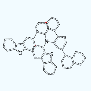 c1ccc(-c2ccc(-c3cccc4ccccc34)cc2N(c2ccccc2-c2ccc3oc4ccccc4c3c2)c2cccc3c2sc2ccccc23)cc1